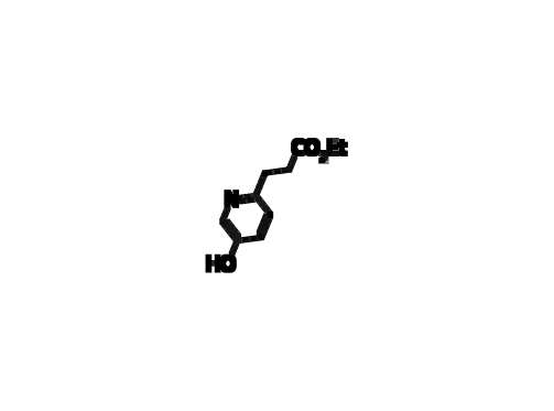 CCOC(=O)CCc1ccc(O)cn1